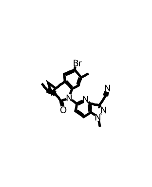 CC#CC(=O)N(c1ccc2c(n1)c(C#N)nn2C)c1cc(C)c(Br)cc1C1CC1